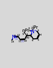 CCC[N+]1(C(C)C)CC=CCC1[C@H](C)/C=C\C=N/C